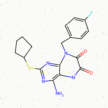 Nc1nc(SC2CCCC2)nc2c1[N]C(=O)C(=O)N2Cc1ccc(F)cc1